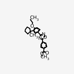 CCCOc1ccc(-c2noc(-c3ccc(C(=O)OC)cc3)n2)cc1C1(C)CCCCC1